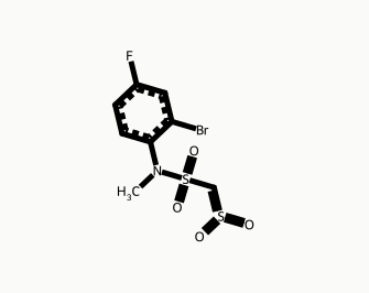 CN(c1ccc(F)cc1Br)S(=O)(=O)C=S(=O)=O